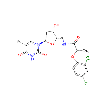 CCc1cn([C@H]2C[C@H](O)[C@@H](CNC(=O)C(C)Oc3ccc(Cl)cc3Cl)O2)c(=O)[nH]c1=O